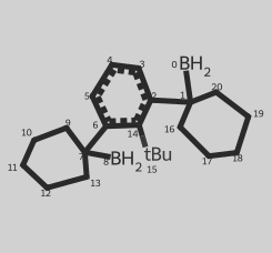 BC1(c2cccc(C3(B)CCCCC3)c2C(C)(C)C)CCCCC1